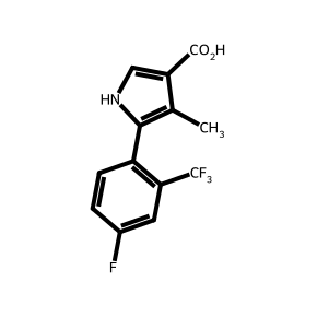 Cc1c(C(=O)O)c[nH]c1-c1ccc(F)cc1C(F)(F)F